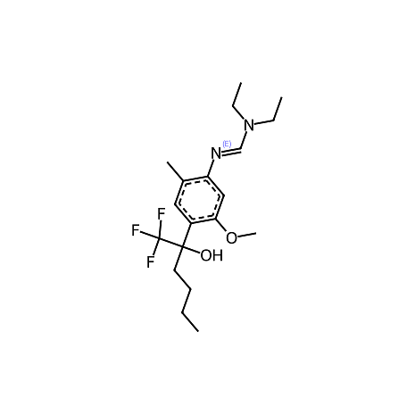 CCCCC(O)(c1cc(C)c(/N=C/N(CC)CC)cc1OC)C(F)(F)F